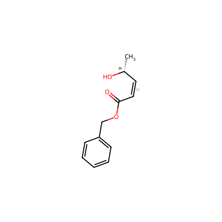 C[C@@H](O)/C=C\C(=O)OCc1ccccc1